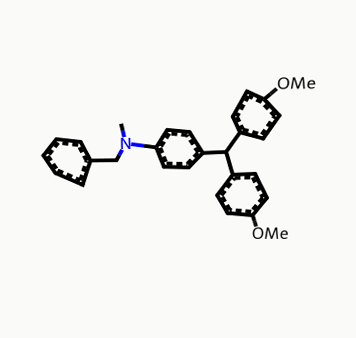 COc1ccc(C(c2ccc(OC)cc2)c2ccc(N(C)Cc3ccccc3)cc2)cc1